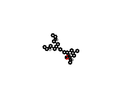 c1ccc(-c2c3cccc(-c4cc5ccccc5c5c4oc4ccccc45)c3cc3c(-c4cc5cc(-c6ccc(-c7c8cccc(-c9cccc%10c9oc9ccc%11ccccc%11c9%10)c8cc8c(-c9cccc%10c9oc9ccc%11ccccc%11c9%10)cccc78)cc6)ccc5c5c4oc4ccccc45)cccc23)cc1